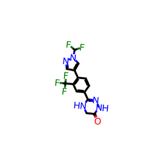 O=C1CNC(c2ccc(-c3cnn(C(F)F)c3)c(C(F)(F)F)c2)=NN1